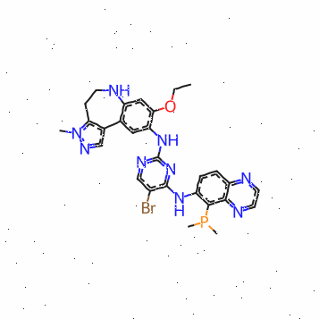 CCOc1cc2c(cc1Nc1ncc(Br)c(Nc3ccc4nccnc4c3P(C)C)n1)-c1cnn(C)c1CCN2